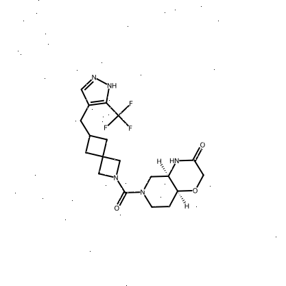 O=C1CO[C@H]2CCN(C(=O)N3CC4(CC(Cc5cn[nH]c5C(F)(F)F)C4)C3)C[C@H]2N1